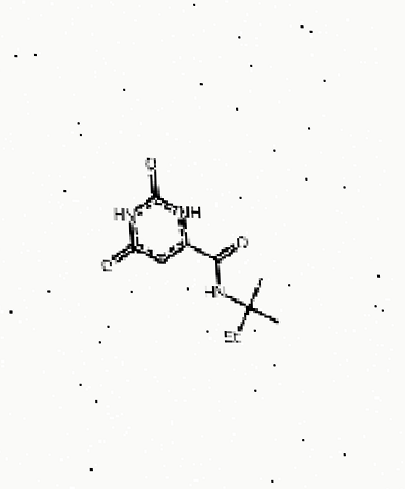 CCC(C)(C)NC(=O)c1cc(=O)[nH]c(=O)[nH]1